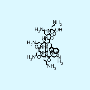 NCCC[C@H](NC(=O)[C@@H](N)CCN)C(=O)N[C@H](CCN)C(=O)N[C@@H](CCN)C(=O)N[C@@H](Cc1c[nH]c2ccccc12)C(=O)N[C@@H](CCN)C(=O)N[C@@H](CCN)C(=O)O